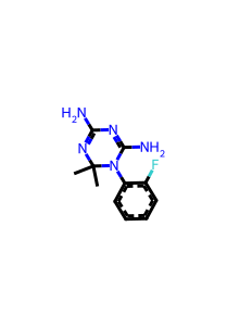 CC1(C)N=C(N)N=C(N)N1c1ccccc1F